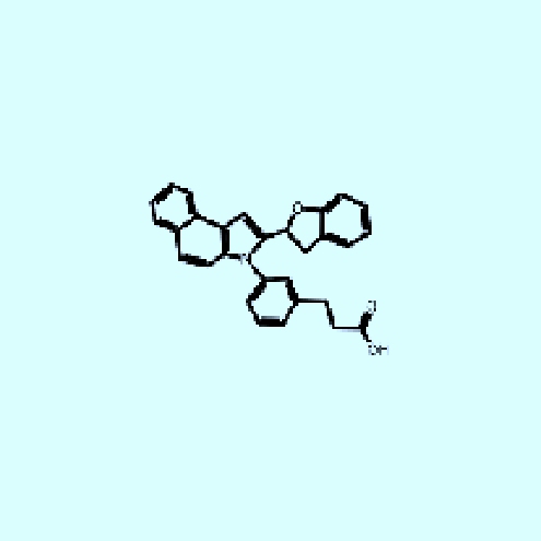 O=C(O)CCc1cccc(-n2c(C3Cc4ccccc4O3)cc3c4ccccc4ccc32)c1